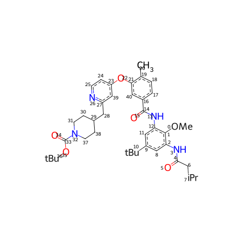 COc1c(NC(=O)CC(C)C)cc(C(C)(C)C)cc1NC(=O)c1ccc(C)c(Oc2ccnc(CC3CCN(C(=O)OC(C)(C)C)CC3)c2)c1